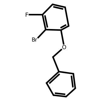 Fc1cccc(OCc2ccccc2)c1Br